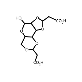 O=C(O)CC1OCC2OC(O)C3OC(CC(=O)O)OC3C2O1